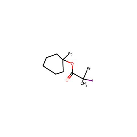 CCC1(OC(=O)C(C)(I)CC)CCCCC1